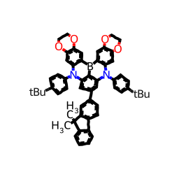 CC(C)(C)c1ccc(N2c3cc4c(cc3B3c5cc6c(cc5N(c5ccc(C(C)(C)C)cc5)c5cc(-c7ccc8c(c7)C(C)(C)c7ccccc7-8)cc2c53)OCCO6)OCCO4)cc1